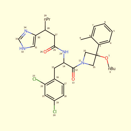 CCCCOC1(c2ccccc2C)CN(C(=O)C(Cc2ccc(Cl)cc2Cl)NC(=O)CC(CCC)c2c[nH]cn2)C1